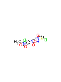 CC1CN(c2ccc(N3CC(CNC(=O)c4ccc(Cl)s4)OC3=O)cc2Cl)C(=O)CO1